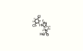 Cc1nc2c(n1Cc1cc(Cl)ccc1Cl)CN(C(=O)O)CC2